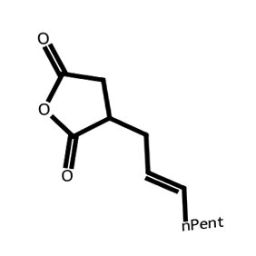 CCCCCC=CCC1CC(=O)OC1=O